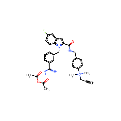 C#CC[N+](C)(C)c1ccc(CNC(=O)c2cc3cc(F)ccc3n2Cc2cccc(C(=N)N)c2)cc1.CC(=O)OC(C)=O